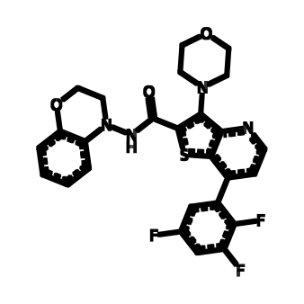 O=C(NN1CCOc2ccccc21)c1sc2c(-c3cc(F)cc(F)c3F)ccnc2c1N1CCOCC1